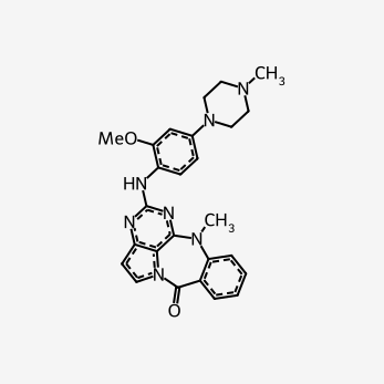 COc1cc(N2CCN(C)CC2)ccc1Nc1nc2c3c(ccn3C(=O)c3ccccc3N2C)n1